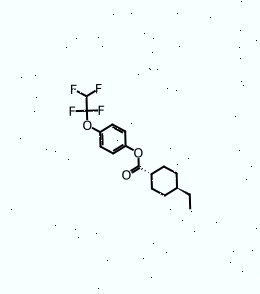 CC[C@H]1CC[C@H](C(=O)Oc2ccc(OC(F)(F)C(F)F)cc2)CC1